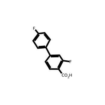 O=C(O)c1ccc(-c2ccc(F)cc2)cc1F